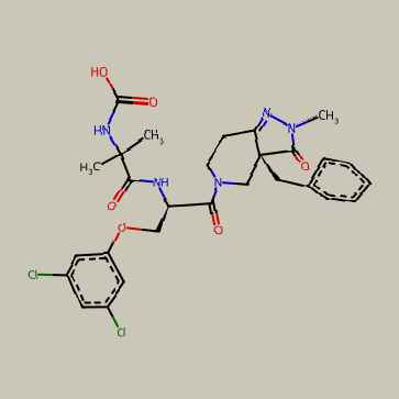 CN1N=C2CCN(C(=O)[C@@H](COc3cc(Cl)cc(Cl)c3)NC(=O)C(C)(C)NC(=O)O)C[C@@]2(Cc2ccccc2)C1=O